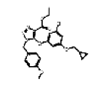 CCOC(=O)c1nnn(Cc2ccc(OC)cc2)c1Oc1cc(Cl)cc(OCC2CC2)c1